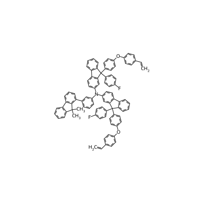 C=Cc1ccc(Oc2ccc(C3(c4ccc(F)cc4)c4ccccc4-c4ccc(N(c5cccc(-c6cccc7c6C(C)(C)c6ccccc6-7)c5)c5ccc6c(c5)C(c5ccc(F)cc5)(c5ccc(Oc7ccc(C=C)cc7)cc5)c5ccccc5-6)cc43)cc2)cc1